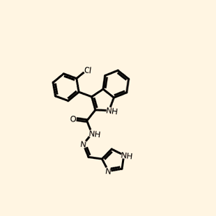 O=C(N/N=C\c1c[nH]cn1)c1[nH]c2ccccc2c1-c1ccccc1Cl